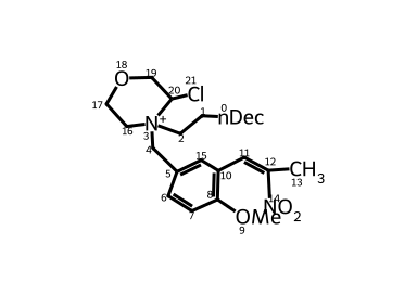 CCCCCCCCCCCC[N+]1(Cc2ccc(OC)c(C=C(C)[N+](=O)[O-])c2)CCOCC1Cl